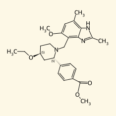 CCO[C@H]1CCN(Cc2c(OC)cc(C)c3[nH]c(C)nc23)[C@H](c2ccc(C(=O)OC)cc2)C1